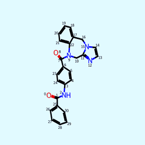 O=C(Nc1ccc(C(=O)N2Cc3nccn3Cc3ccccc32)cc1)c1ccccc1